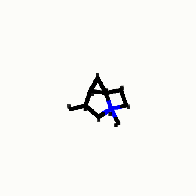 CC1C[N+]2(C)CCC23CC13